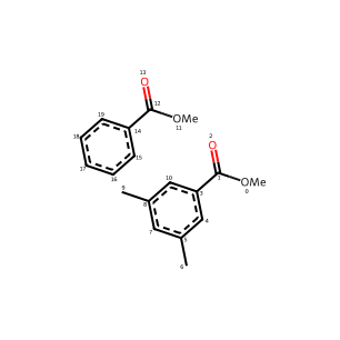 COC(=O)c1cc(C)cc(C)c1.COC(=O)c1ccccc1